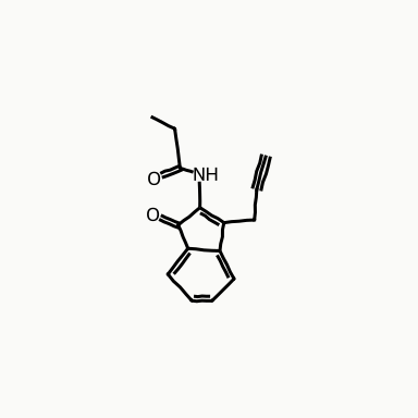 C#CCC1=C(NC(=O)CC)C(=O)c2ccccc21